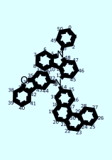 c1ccc(-n2c3ccccc3c3c(N(c4ccc5c(ccc6ccc7ccccc7c65)c4)c4ccc5oc6ccccc6c5c4)cccc32)cc1